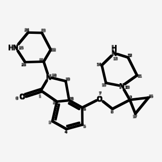 O=C1c2cccc(OCC3(N4CCNCC4)CC3)c2CN1C1CCCNC1